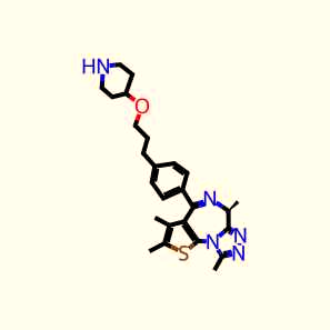 Cc1sc2c(c1C)C(c1ccc(CCCOC3CCNCC3)cc1)=N[C@@H](C)c1nnc(C)n1-2